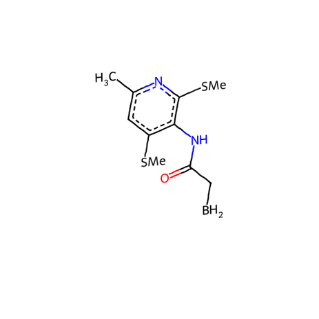 BCC(=O)Nc1c(SC)cc(C)nc1SC